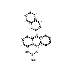 OB(O)Oc1c2ccccc2c(-c2ccc3ccccc3c2)c2ccccc12